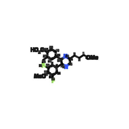 COCCCc1cnc(-c2cc(F)c(OC)c(F)c2)c(-c2ccc(C(=O)O)c(C)c2)n1